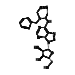 OC[C@H]1O[C@@H](n2cnc3c(NC4CC#CCN4Cc4ccccc4)ncnc32)[C@H](O)[C@@H]1O